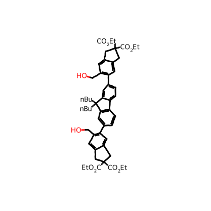 CCCCC1(CCCC)c2cc(-c3cc4c(cc3CO)CC(C(=O)OCC)(C(=O)OCC)C4)ccc2-c2ccc(-c3cc4c(cc3CO)CC(C(=O)OCC)(C(=O)OCC)C4)cc21